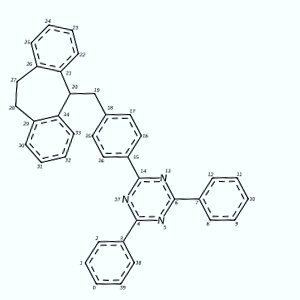 c1ccc(-c2nc(-c3ccccc3)nc(-c3ccc(CC4c5ccccc5CCc5ccccc54)cc3)n2)cc1